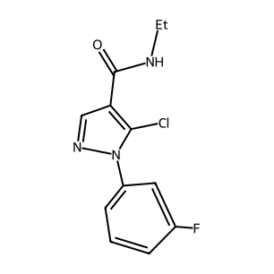 CCNC(=O)c1cnn(-c2cccc(F)c2)c1Cl